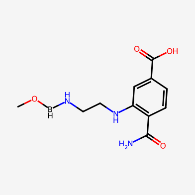 COBNCCNc1cc(C(=O)O)ccc1C(N)=O